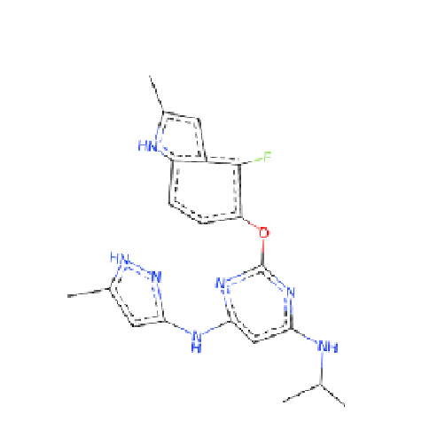 Cc1cc(Nc2cc(NC(C)C)nc(Oc3ccc4[nH]c(C)cc4c3F)n2)n[nH]1